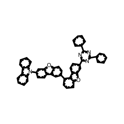 c1ccc(-c2nc(-c3ccccc3)nc(-c3ccc4c(c3)oc3cccc(-c5ccc6oc7cc(-n8c9ccccc9c9ccccc98)ccc7c6c5)c34)n2)cc1